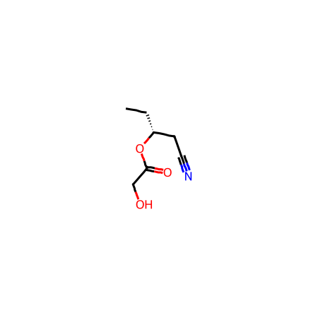 CC[C@H](CC#N)OC(=O)CO